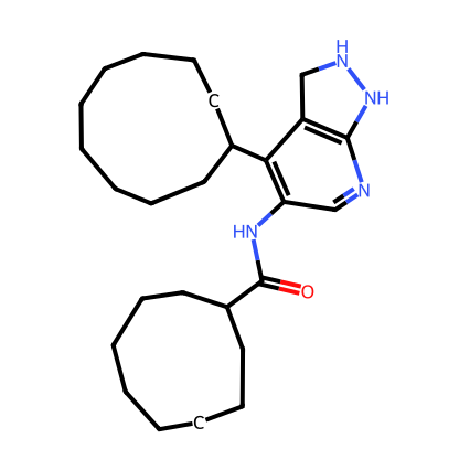 O=C(Nc1cnc2c(c1C1CCCCCCCCC1)CNN2)C1CCCCCCCC1